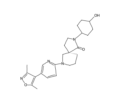 Cc1noc(C)c1-c1ccc(N2CCC[C@@]3(CCN(C4CCC(O)CC4)C3=O)C2)nc1